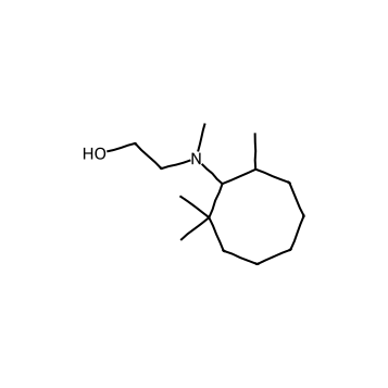 CC1CCCCCC(C)(C)C1N(C)CCO